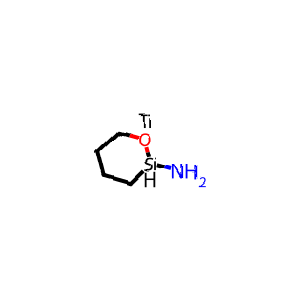 N[SiH]1CCCCO1.[Ti]